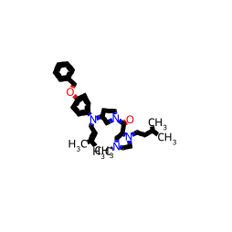 CC(C)=CCN(c1ccc(OCc2ccccc2)cc1)C1CCN(C(=O)C2CN(C)CCN2CCC(C)C)C1